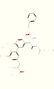 COC(=O)[C@@H](N)Cc1cc(O)c(OC)c(-c2cc([C@@H](C(=O)N[C@@H](C)C(=O)O)N(C)C(=O)OCc3ccccc3)ccc2O)c1